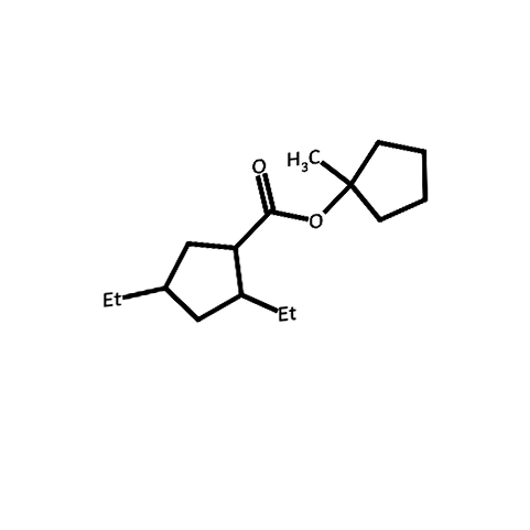 CCC1CC(CC)C(C(=O)OC2(C)CCCC2)C1